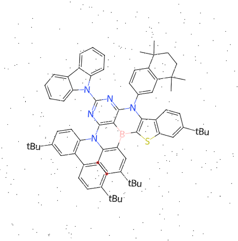 CC(C)(C)c1ccc(-c2cc(C(C)(C)C)ccc2N2c3ccc(C(C)(C)C)cc3B3c4sc5cc(C(C)(C)C)ccc5c4N(c4ccc5c(c4)C(C)(C)CCC5(C)C)c4nc(-n5c6ccccc6c6ccccc65)nc2c43)cc1